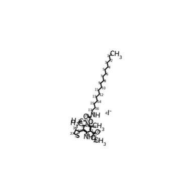 CCCCCCCCCCCCCCCCCCNC(=O)O[N+]1(CC)C(C)=C(C(=O)OC)C(N)=C(C2CCS2)C1C.[I-]